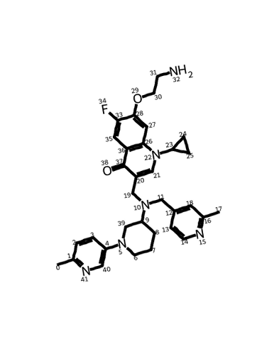 Cc1ccc(N2CCCC(N(Cc3ccnc(C)c3)Cc3cn(C4CC4)c4cc(OCCN)c(F)cc4c3=O)C2)cn1